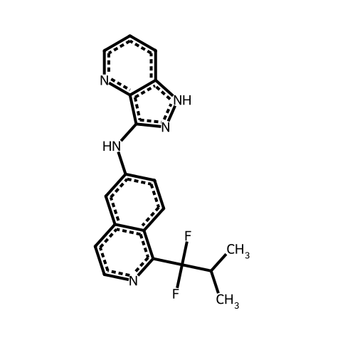 CC(C)C(F)(F)c1nccc2cc(Nc3n[nH]c4cccnc34)ccc12